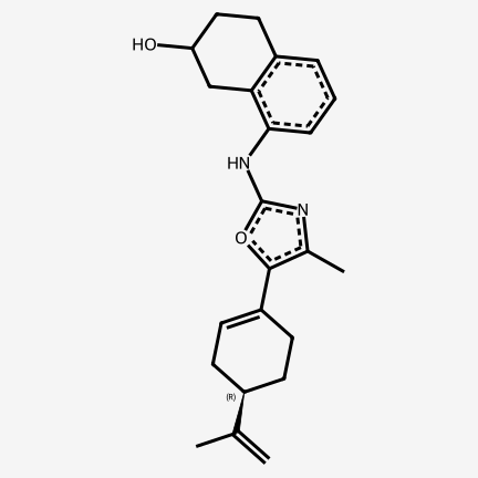 C=C(C)[C@H]1CC=C(c2oc(Nc3cccc4c3CC(O)CC4)nc2C)CC1